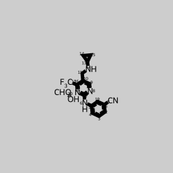 N#Cc1cccc(Nc2ncc(CNC3CC3)c(C(F)(F)F)n2)c1.O=CO